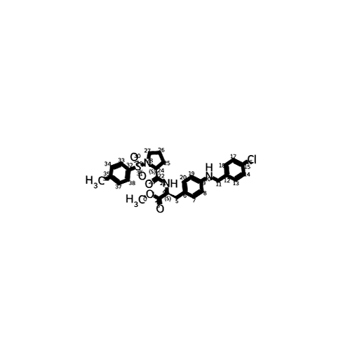 COC(=O)[C@H](Cc1ccc(NCc2ccc(Cl)cc2)cc1)NC(=O)[C@@H]1CCCN1S(=O)(=O)c1ccc(C)cc1